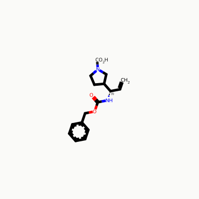 C=C[C@H](NC(=O)OCc1ccccc1)C1CCN(C(=O)O)C1